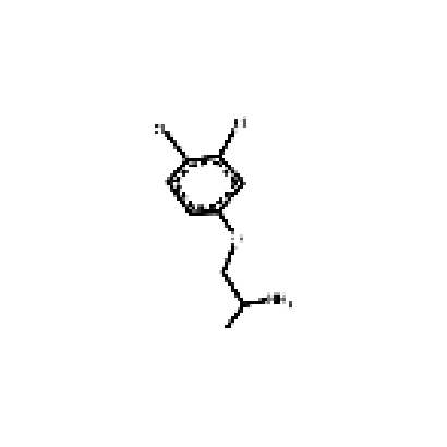 CC(N)COc1ccc(Cl)c(Cl)c1